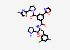 Cc1csc(C2CCCN2C(=O)c2cc(C(=O)N[C@@H](Cc3cc(F)cc(F)c3)[C@H](O)C3CCCN3)cc(-c3ncco3)c2)n1